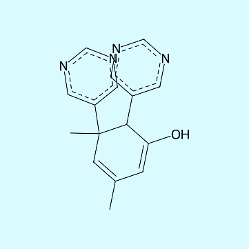 CC1=CC(C)(c2cncnc2)C(c2cncnc2)C(O)=C1